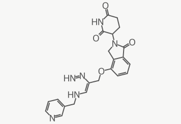 N=N/C(=C\NCc1cccnc1)COc1cccc2c1CN(C1CCC(=O)NC1=O)C2=O